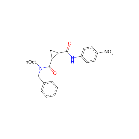 CCCCCCCCN(Cc1ccccc1)C(=O)C1CC1C(=O)Nc1ccc([N+](=O)[O-])cc1